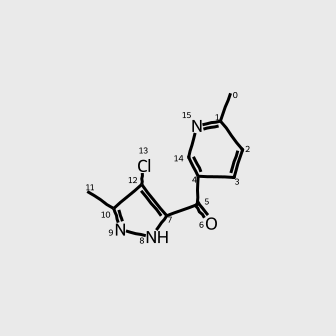 Cc1ccc(C(=O)c2[nH]nc(C)c2Cl)cn1